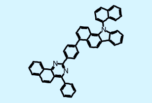 c1ccc(-c2nc(-c3ccc(-c4cccc5c4ccc4c6ccccc6n(-c6cccc7ccccc67)c54)cc3)nc3c2ccc2ccccc23)cc1